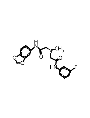 CN(CC(=O)Nc1cccc(F)c1)CC(=O)Nc1ccc2c(c1)OCO2